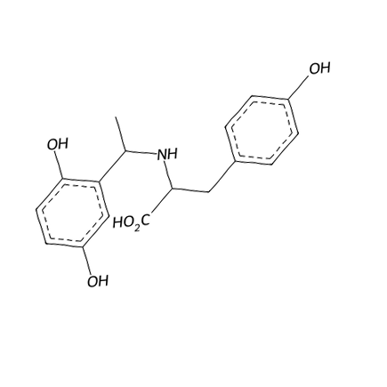 CC(NC(Cc1ccc(O)cc1)C(=O)O)c1cc(O)ccc1O